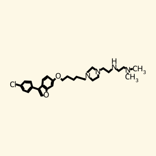 CN(C)CCNCCN1CCN(CCCCCOc2ccc3c(-c4ccc(Cl)cc4)coc3c2)CC1